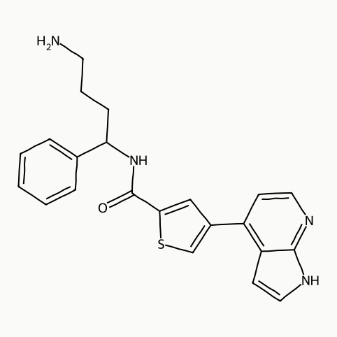 NCCCC(NC(=O)c1cc(-c2ccnc3[nH]ccc23)cs1)c1ccccc1